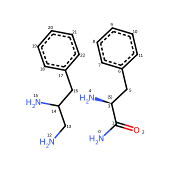 NC(=O)[C@@H](N)Cc1ccccc1.NCC(N)Cc1ccccc1